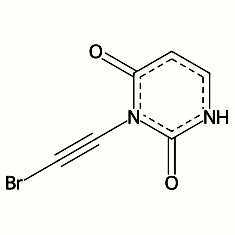 O=c1cc[nH]c(=O)n1C#CBr